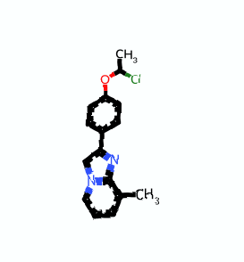 Cc1cccn2cc(-c3ccc(OC(C)Cl)cc3)nc12